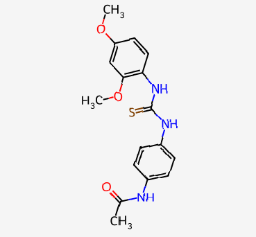 COc1ccc(NC(=S)Nc2ccc(NC(C)=O)cc2)c(OC)c1